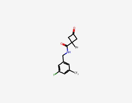 CC(C)C1(C(=O)NCc2cc(F)cc(C(F)(F)F)c2)CC(=O)C1